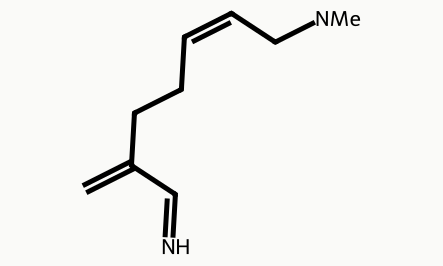 C=C(C=N)CC/C=C\CNC